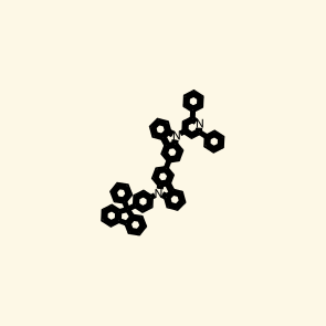 c1ccc(-c2cc(-n3c4ccccc4c4cc(-c5ccc6c(c5)c5ccccc5n6-c5ccc(C6(c7ccccc7)c7ccccc7-c7ccccc76)cc5)ccc43)cc(-c3ccccc3)n2)cc1